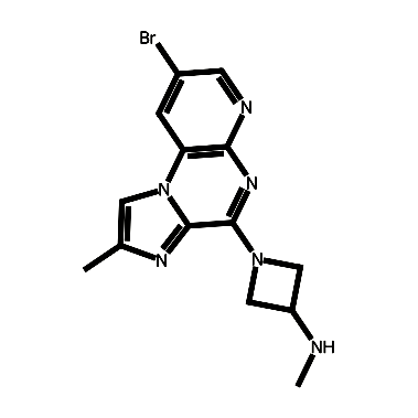 CNC1CN(c2nc3ncc(Br)cc3n3cc(C)nc23)C1